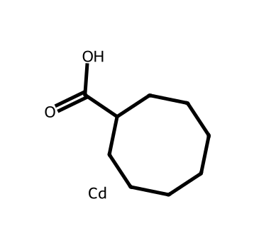 O=C(O)C1CCCCCCC1.[Cd]